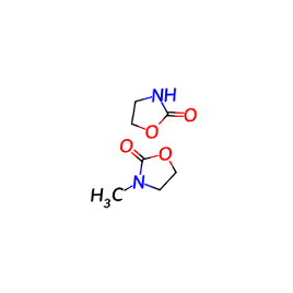 CN1CCOC1=O.O=C1NCCO1